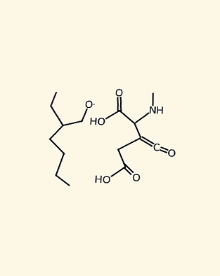 CCCCC(CC)C[O].CNC(C(=O)O)C(=C=O)CC(=O)O